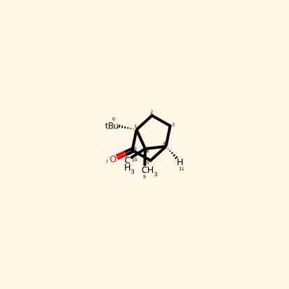 CC(C)(C)[C@@]12CC[C@@H](CC1=O)C2(C)C